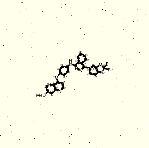 COc1cnc2c(Oc3ccc(Nc4nnc(-c5ccc6c(c5)OC(F)(F)O6)c5ccccc45)cc3)ccnc2c1